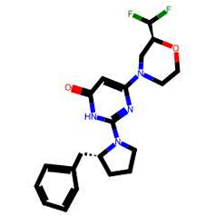 O=c1cc(N2CCO[C@H](C(F)F)C2)nc(N2CCC[C@@H]2Cc2ccccc2)[nH]1